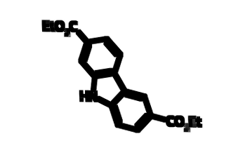 CCOC(=O)c1ccc2c(c1)[nH]c1ccc(C(=O)OCC)cc12